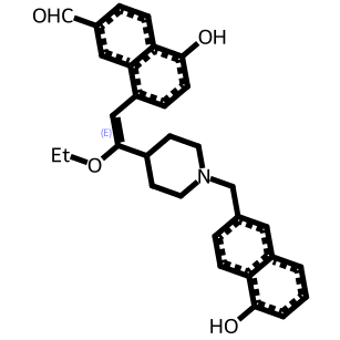 CCO/C(=C/c1ccc(O)c2ccc(C=O)cc12)C1CCN(Cc2ccc3c(O)cccc3c2)CC1